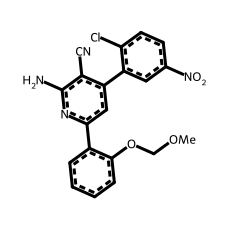 COCOc1ccccc1-c1cc(-c2cc([N+](=O)[O-])ccc2Cl)c(C#N)c(N)n1